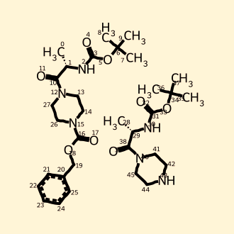 C[C@H](NC(=O)OC(C)(C)C)C(=O)N1CCN(C(=O)OCc2ccccc2)CC1.C[C@H](NC(=O)OC(C)(C)C)C(=O)N1CCNCC1